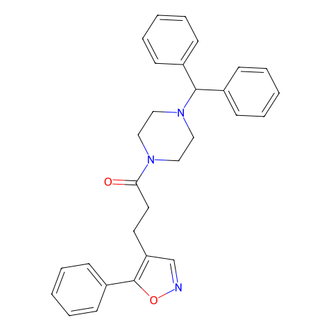 O=C(CCc1cnoc1-c1ccccc1)N1CCN(C(c2ccccc2)c2ccccc2)CC1